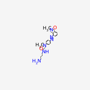 CN1Cc2c(/N=N/c3ccc(N(C)CC(=O)NCCCCN)cc3)cccc2C1=O